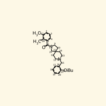 Cc1cccc(C(=O)N2CCC3(CCN(Cc4ccccc4OCC(C)C)CC3)C2)c1C